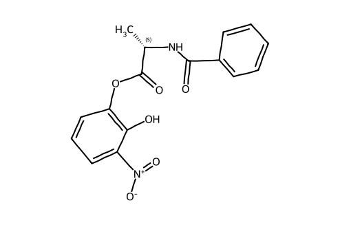 C[C@H](NC(=O)c1ccccc1)C(=O)Oc1cccc([N+](=O)[O-])c1O